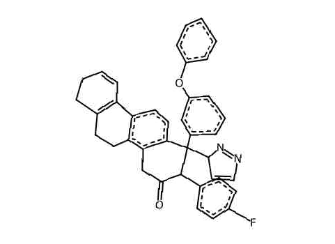 O=C1Cc2c(ccc3c2CCC2=C3C=CCC2)C(c2cccc(Oc3ccccc3)c2)(C2C=CN=N2)C1c1ccc(F)cc1